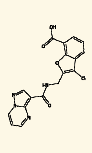 O=C(O)c1cccc2c(Cl)c(CNC(=O)c3cnn4cccnc34)oc12